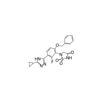 O=C1CN(c2c(OCc3ccccc3)ccc(-c3nnc(C4CC4)[nH]3)c2F)S(=O)(=O)N1